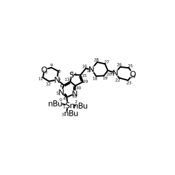 CCC[CH2][Sn]([CH2]CCC)([CH2]CCC)[c]1nc(N2CCOCC2)c2sc(CN3CCC(N4CCOCC4)CC3)cc2n1